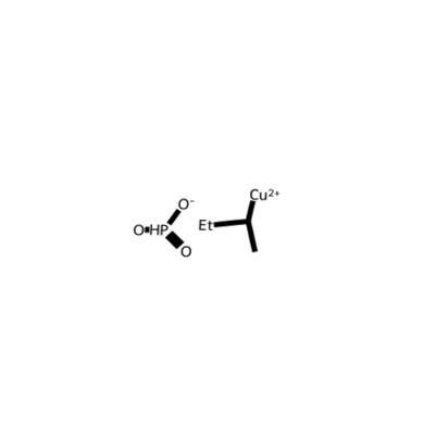 CC[CH](C)[Cu+2].O=[PH]([O-])[O-]